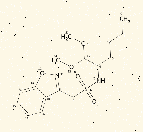 CCCCC(NS(=O)(=O)Cc1noc2ccccc12)C(OC)OC